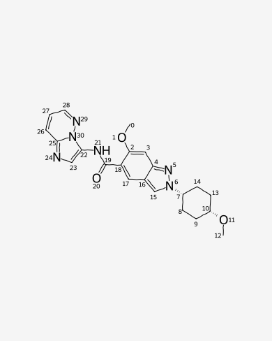 COc1cc2nn([C@H]3CC[C@@H](OC)CC3)cc2cc1C(=O)Nc1cnc2cccnn12